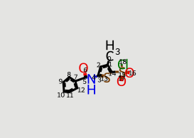 Cc1cc(NC(=O)c2ccccc2)sc1S(=O)(=O)Cl